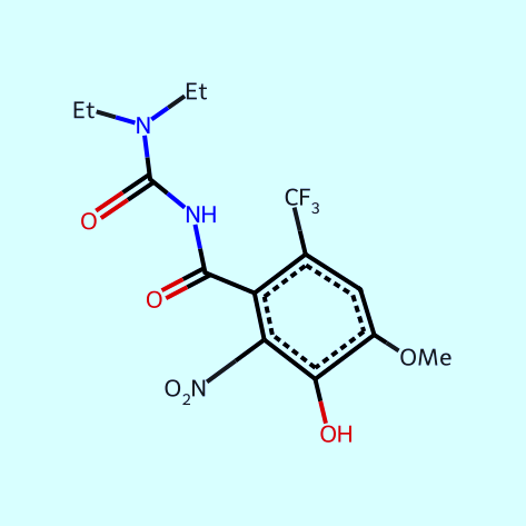 CCN(CC)C(=O)NC(=O)c1c(C(F)(F)F)cc(OC)c(O)c1[N+](=O)[O-]